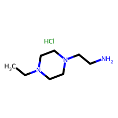 CCN1CCN(CCN)CC1.Cl